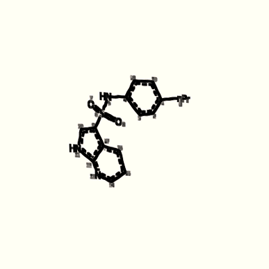 CCCc1ccc(NS(=O)(=O)c2c[nH]c3ncccc23)cc1